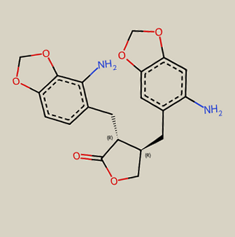 Nc1cc2c(cc1C[C@H]1COC(=O)[C@@H]1Cc1ccc3c(c1N)OCO3)OCO2